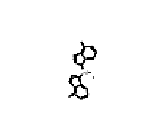 Cc1cccc2c1C=CC2[SiH2]C1C=Cc2c(C)cccc21